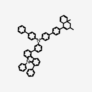 CC1C=C(c2ccc(-c3ccc(N(c4ccc(-c5ccccc5)cc4)c4cccc(-c5cccc6c5c5cccc(-c7ccccc7)c5n6-c5ccccc5)c4)cc3)cc2)C2C=CC=CC2(C)C1